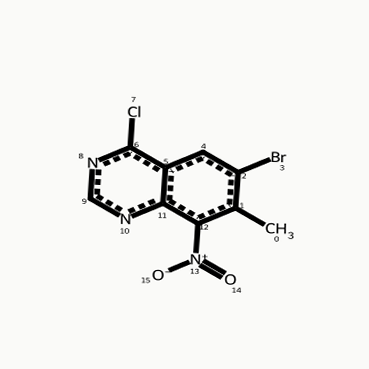 Cc1c(Br)cc2c(Cl)ncnc2c1[N+](=O)[O-]